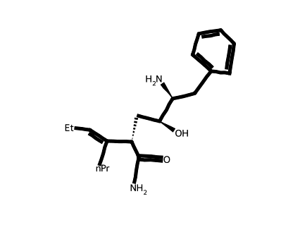 CCC=C(CCC)[C@H](C[C@H](O)[C@@H](N)Cc1ccccc1)C(N)=O